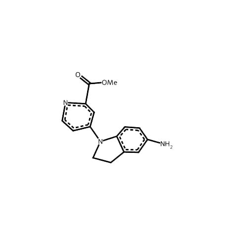 COC(=O)c1cc(N2CCc3cc(N)ccc32)ccn1